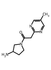 Cc1cnc(CC(=O)N2CCC(N)C2)nc1